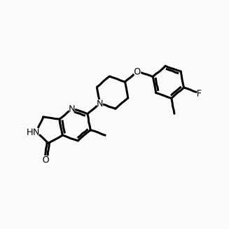 Cc1cc(OC2CCN(c3nc4c(cc3C)C(=O)NC4)CC2)ccc1F